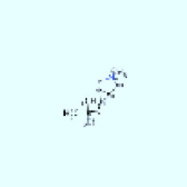 CCC(C)(C)CC1C2CN(C)CC21